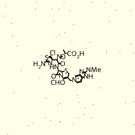 CNc1nc2c[n+](CC3=C(C=O)N4C(=O)C(NC(=O)/C(=N\O[C@@H](C)C(=O)O)c5nc(N)sc5Cl)C4SC3)ccc2[nH]1